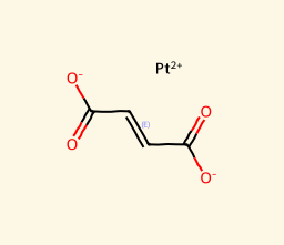 O=C([O-])/C=C/C(=O)[O-].[Pt+2]